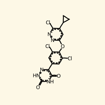 O=c1[nH]nc(-c2cc(Cl)c(Oc3cc(C4CC4)c(Cl)nn3)c(Cl)c2)c(=O)[nH]1